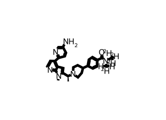 [2H]C([2H])([2H])N(C(=O)c1ccc(C2CCN([C@@H](C)c3cc4c(-c5ccc(N)cn5)ccnc4n3C)CC2)cc1)C([2H])([2H])[2H]